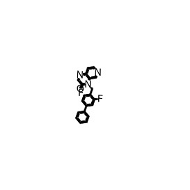 O=c1cnc2ccncc2n1Cc1c(F)cc(-c2ccccc2)cc1F